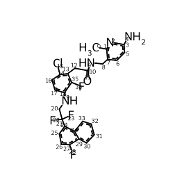 Cc1nc(N)ccc1CNC(=O)Cc1c(Cl)ccc(NCC(F)(F)c2ccc(F)c3ccccc23)c1F